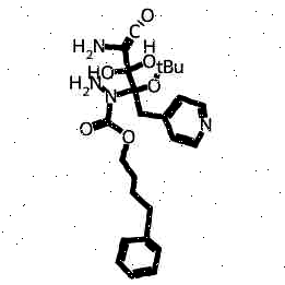 CC(C)(C)OC(Cc1ccncc1)(N(N)C(=O)OCCCCc1ccccc1)C(O)(O)C(N)=C=O